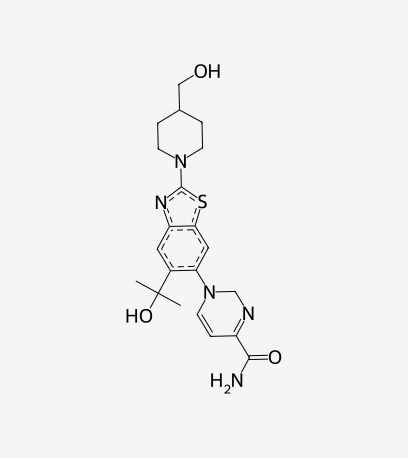 CC(C)(O)c1cc2nc(N3CCC(CO)CC3)sc2cc1N1C=CC(C(N)=O)=NC1